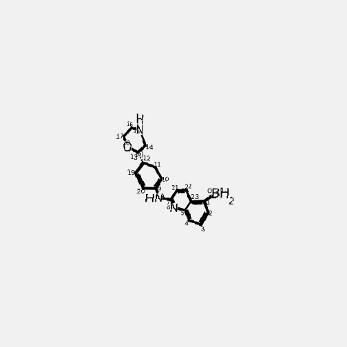 Bc1cccc2nc(NC3=CCC([C@H]4CNCCO4)C=C3)ccc12